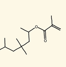 C=C(C)C(=O)OC(C)CC(C)(C)CC(C)C